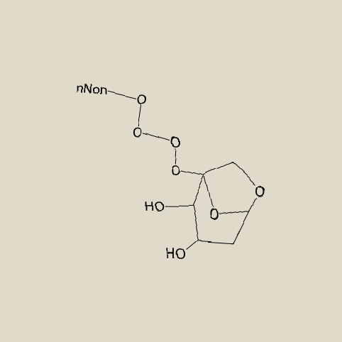 CCCCCCCCCOOOOC12COC(CC(O)C1O)O2